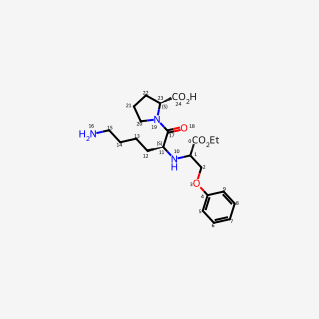 CCOC(=O)C(COc1ccccc1)N[C@@H](CCCCN)C(=O)N1CCC[C@H]1C(=O)O